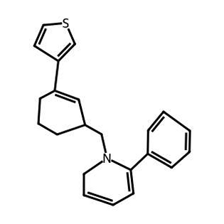 C1=CCN(CC2C=C(c3ccsc3)CCC2)C(c2ccccc2)=C1